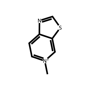 C[n+]1ccc2ncsc2c1